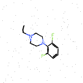 CCN1CCN(c2c(F)cccc2F)CC1